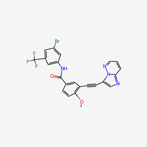 COc1ccc(C(=O)Nc2cc(Br)cc(C(F)(F)F)c2)cc1C#Cc1cnc2cccnn12